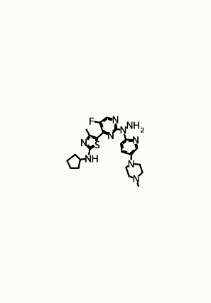 Cc1nc(NC2CCCC2)sc1-c1nc(N(N)c2ccc(N3CCN(C)CC3)cn2)ncc1F